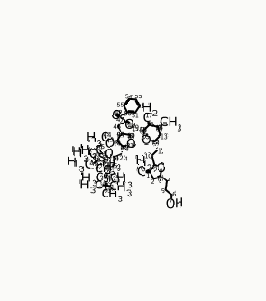 C=C1C[C@H](CCCO)OC1CC[C@H]1C[C@@H](C)C(=C)[C@@H](C[C@@H]2O[C@H](C[C@@H](CO[Si](C)(C)C(C)(C)C)O[Si](C)(C)C(C)(C)C)[C@H](OC)[C@H]2CS(=O)(=O)c2ccccc2)O1